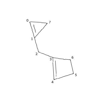 C1=C(CC2=CCC2)C1